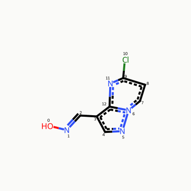 ON=Cc1cnn2ccc(Cl)nc12